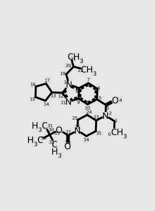 CCN(C(=O)c1ccc2c(c1)nc(C1CCCC1)n2CC(C)C)C1CCN(C(=O)OC(C)(C)C)CC1